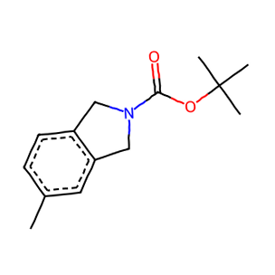 Cc1ccc2c(c1)CN(C(=O)OC(C)(C)C)C2